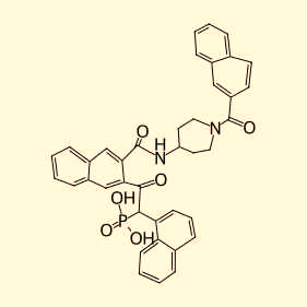 O=C(NC1CCN(C(=O)c2ccc3ccccc3c2)CC1)c1cc2ccccc2cc1C(=O)C(c1cccc2ccccc12)P(=O)(O)O